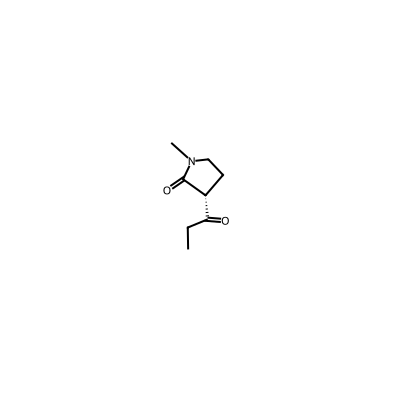 CCC(=O)[C@H]1CCN(C)C1=O